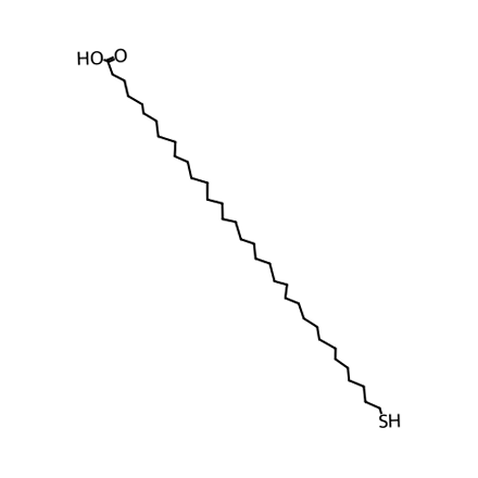 O=C(O)CCCCCCCCCCCCCCCCCCCCCCCCCCCCCCCCCCS